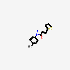 CC(C)c1ccc(NC(=O)C=Cc2cccs2)cc1